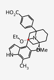 CCO[C@H]1C[C@H]2CCCC(c3ccc(C(=O)O)cc3)(C1)N2Cc1c(OC)cc(C)c2[nH]ccc12